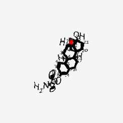 C[C@]12CC[C@@H]3c4ccc(OS(N)(=O)=O)cc4CC[C@H]3[C@@]13C=C[C@@]2(O)CC3